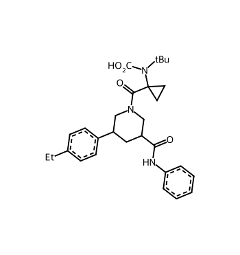 CCc1ccc(C2CC(C(=O)Nc3ccccc3)CN(C(=O)C3(N(C(=O)O)C(C)(C)C)CC3)C2)cc1